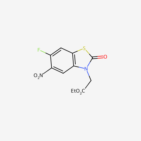 CCOC(=O)Cn1c(=O)sc2cc(F)c([N+](=O)[O-])cc21